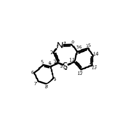 C1=NC=C(C2=CCCCC2)Sc2ccccc21